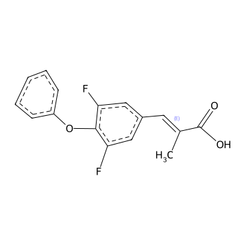 C/C(=C\c1cc(F)c(Oc2ccccc2)c(F)c1)C(=O)O